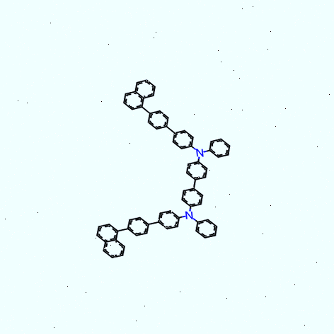 c1ccc(N(c2ccc(-c3ccc(-c4cccc5ccccc45)cc3)cc2)c2ccc(-c3ccc(N(c4ccccc4)c4ccc(-c5ccc(-c6cccc7ccccc67)cc5)cc4)cc3)cc2)cc1